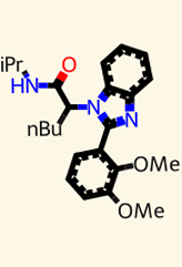 CCCCC(C(=O)NC(C)C)n1c(-c2cccc(OC)c2OC)nc2ccccc21